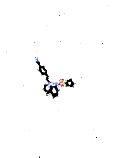 N#Cc1ccc(CCCN2CCCc3cccc(NS(=O)(=O)c4ccccc4)c32)cc1